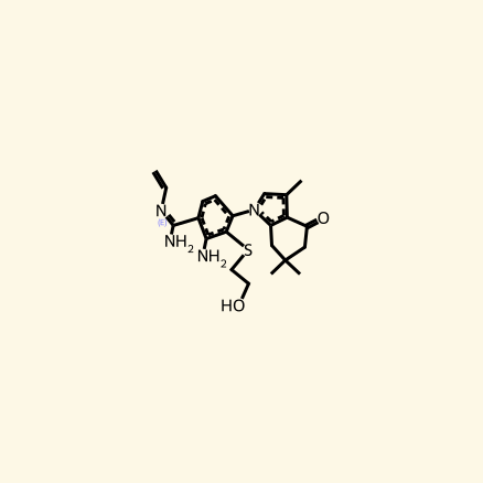 C=C/N=C(/N)c1ccc(-n2cc(C)c3c2CC(C)(C)CC3=O)c(SCCO)c1N